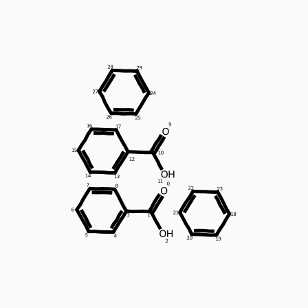 O=C(O)c1ccccc1.O=C(O)c1ccccc1.c1ccccc1.c1ccccc1